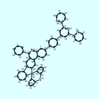 c1ccc(-c2nc3cc(-c4ccc(-c5cc(-c6ccccn6)nc(-c6ccccn6)c5)cc4)ccc3c3cc4c(cc23)-c2ccccc2C42c3ccccc3Sc3ccccc32)cc1